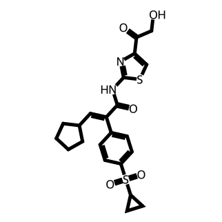 O=C(Nc1nc(C(=O)CO)cs1)/C(=C/C1CCCC1)c1ccc(S(=O)(=O)C2CC2)cc1